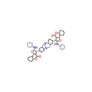 O=c1oc2ccccc2c2oc(NC3CCCCC3)c(-c3ccc4c(c3)CN3CN4Cc4cc(-c5c(NC6CCCCC6)oc6c5c(=O)oc5ccccc56)ccc43)c12